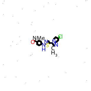 CNC(=O)c1ccc(Nc2ncc(-c3c(C)nc4cc(Cl)ccn34)s2)cc1